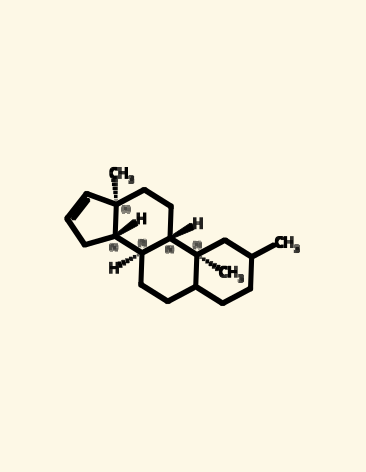 CC1CCC2CC[C@H]3[C@@H]4CC=C[C@@]4(C)CC[C@@H]3[C@@]2(C)C1